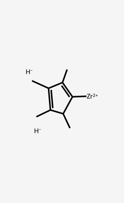 CC1=C(C)C(C)[C]([Zr+2])=C1C.[H-].[H-]